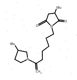 C=C(CCCCCN1C(=O)CC(C(C)(C)C)C1=O)N1CCC(C(C)(C)C)C1